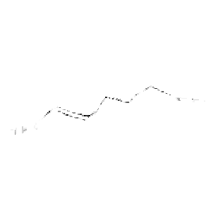 [CH2]CCCCC/C=C/CCCCCCCC[CH2]